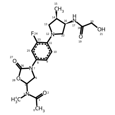 CC(=O)N(C)C1CN(c2ccc(N3C[C@@H](C)[C@@H](NC(=O)CO)C3)c(F)c2)C(=O)O1